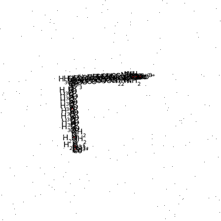 CC(=O)[O-].CC(=O)[O-].CC(=O)[O-].CC(=O)[O-].CC(=O)[O-].CC(=O)[O-].CC(=O)[O-].CC(=O)[O-].CC(=O)[O-].CC(=O)[O-].CC(=O)[O-].CC(=O)[O-].CC(=O)[O-].CC(=O)[O-].CC(=O)[O-].CC(=O)[O-].CC(=O)[O-].CC(=O)[O-].CC(=O)[O-].CC(=O)[O-].NCCN.NCCN.NCCN.NCCN.NCCN.[Co+3].[Co+3].[Co+3].[Co+3].[Na+].[Na+].[Na+].[Na+].[Na+].[Na+].[Na+].[Na+]